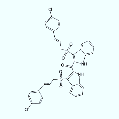 O=C(c1[nH]c2ccccc2c1S(=O)(=O)CC=Cc1ccc(Cl)cc1)c1[nH]c2ccccc2c1S(=O)(=O)CC=Cc1ccc(Cl)cc1